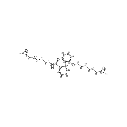 O=C(NCCCCOCC1CO1)c1ccccc1-c1ccccc1OCCCCOCC1CO1